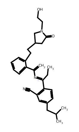 C=C(/N=C(\CC)c1ccc(CC(C)C)cc1C#N)c1ccccc1CCC1CC(=O)N(CCO)C1